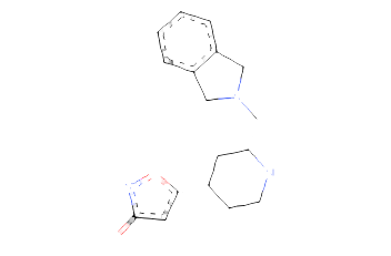 O=c1cc([C@H]2CCN[C@@H](CN3Cc4ccccc4C3)C2)o[nH]1